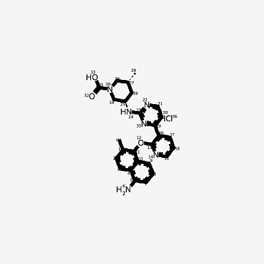 Cc1ccc2c(N)cccc2c1Oc1ncccc1-c1ccnc(N[C@H]2C[C@@H](C)CN(C(=O)O)C2)n1.Cl